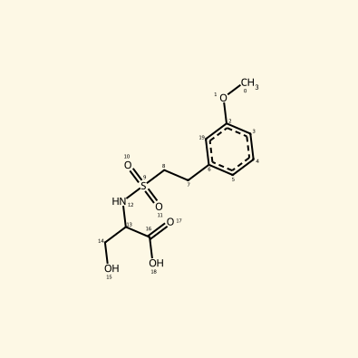 COc1cccc(CCS(=O)(=O)NC(CO)C(=O)O)c1